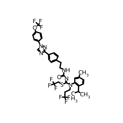 Cc1ccc(C(C)C)c(N(CCC(F)(F)F)/C(=N/C(=O)NCCc2ccc(-c3ncn(-c4ccc(OC(F)(F)F)cc4)n3)cc2)SCC(F)(F)F)c1